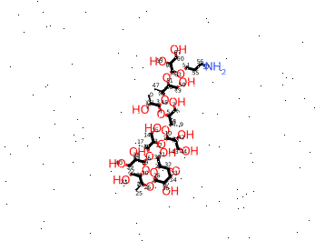 C[C@H](O)C(OC(CO)[C@H](C)OC(OC(CO)[C@@H](C)OC(OC(CO)[C@H](C)OC1OC(CO)C2OC2C1O)[C@@H](O)CO)[C@@H](O)CO)O[C@@H](C)C(CO)OC(OCCCN)[C@@H](O)CO